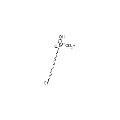 CCC=CCC=CCC=CCC=CCC=CCC=CCCC(=O)n1cc(CC(=O)O)c2cc(O)ccc21